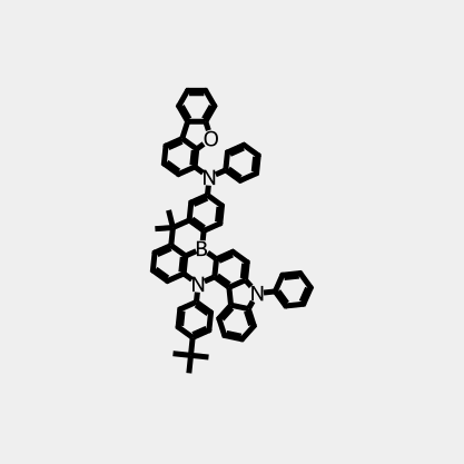 CC(C)(C)c1ccc(N2c3cccc4c3B(c3ccc(N(c5ccccc5)c5cccc6c5oc5ccccc56)cc3C4(C)C)c3ccc4c(c32)c2ccccc2n4-c2ccccc2)cc1